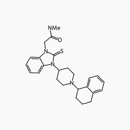 CNC(=O)Cn1c(=S)n(C2CCN(C3CCCc4ccccc43)CC2)c2ccccc21